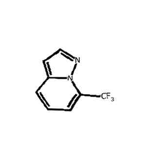 FC(F)(F)c1cccc2ccnn12